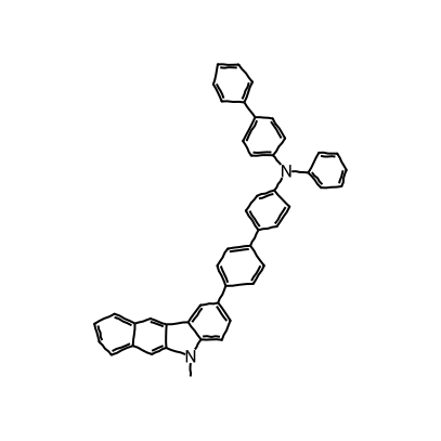 Cn1c2ccc(-c3ccc(-c4ccc(N(c5ccccc5)c5ccc(-c6ccccc6)cc5)cc4)cc3)cc2c2cc3ccccc3cc21